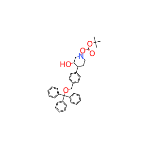 CC(C)(C)OC(=O)ON1CCC(c2ccc(COC(c3ccccc3)(c3ccccc3)c3ccccc3)cc2)C(O)C1